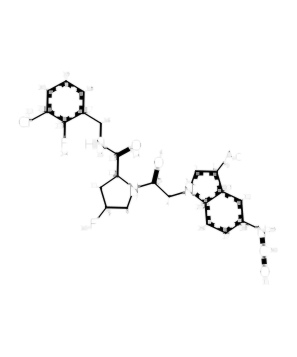 CC(=O)c1cn(CC(=O)N2CC(F)CC2C(=O)NCc2cccc(Cl)c2F)c2ccc(N=C=O)cc12